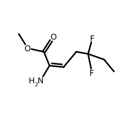 CCC(F)(F)C/C=C(/N)C(=O)OC